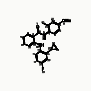 COc1ccc(NC(=O)c2ccccc2Nc2ccc(F)cc2C2CC2)c(C)n1